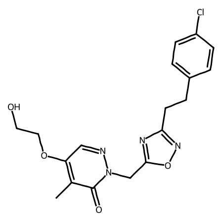 Cc1c(OCCO)cnn(Cc2nc(CCc3ccc(Cl)cc3)no2)c1=O